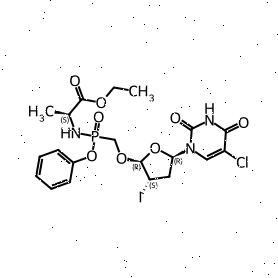 CCOC(=O)[C@H](C)NP(=O)(CO[C@H]1O[C@@H](n2cc(Cl)c(=O)[nH]c2=O)C[C@@H]1I)Oc1ccccc1